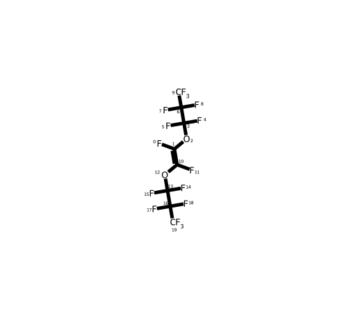 FC(OC(F)(F)C(F)(F)C(F)(F)F)=C(F)OC(F)(F)C(F)(F)C(F)(F)F